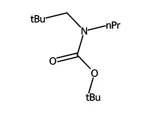 CCCN(CC(C)(C)C)C(=O)OC(C)(C)C